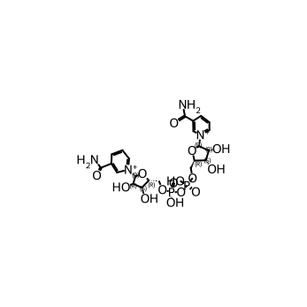 NC(=O)c1ccc[n+]([C@@H]2O[C@H](COP(=O)(O)OP(=O)(O)OC[C@H]3O[C@@H]([n+]4cccc(C(N)=O)c4)[C@H](O)[C@@H]3O)[C@@H](O)[C@H]2O)c1